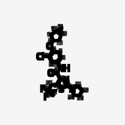 O=C(Nc1ccc(OC2CC3CC3C2)c(Cl)c1)c1nc(N2CCCC2)sc1CC(F)(F)F